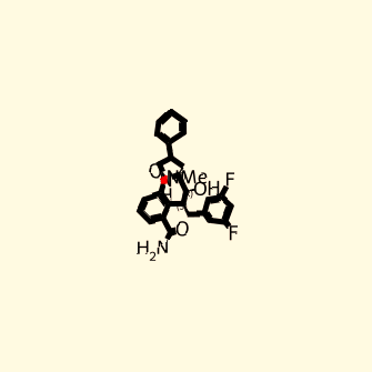 CNC(=O)c1cccc(C(N)=O)c1[C@H](Cc1cc(F)cc(F)c1)[C@@H](O)[C@H]1CC(c2ccccc2)CN1